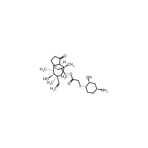 C=C[C@]1(C)C[C@@H](OC(=O)CS[C@H]2CC[C@H](N)C[C@@H]2O)[C@]2(C)C(C)CC[C@]3(CCC(=O)[C@H]32)[C@@H](C)[C@@H]1O